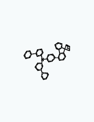 C1=C2CCCC1C21c2ccccc2-c2c(-c3ccc(N(c4cccc(-c5ccccc5)c4)c4cccc(-c5ccccc5)c4)cc3)cccc21